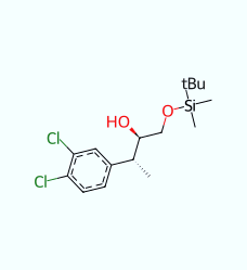 C[C@H](c1ccc(Cl)c(Cl)c1)[C@@H](O)CO[Si](C)(C)C(C)(C)C